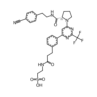 N#Cc1ccc(CCNC(=O)[C@@H]2CCCN2c2cc(-c3cccc(CCC(=O)NCCS(=O)(=O)O)c3)nc(C(F)(F)F)n2)cc1